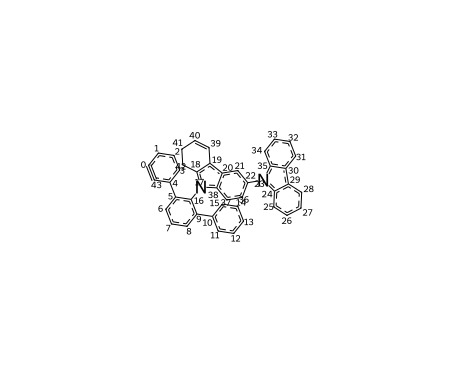 c1cccc(-c2cccc(-c3ccccc3)c2-n2c3c(c4cc(-n5c6ccccc6c6ccccc65)ccc42)C=CCC3)c#1